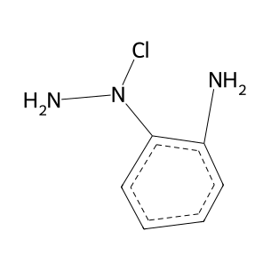 Nc1ccccc1N(N)Cl